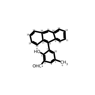 Cc1cc(C=O)c(O)c(-c2c3ccccc3cc3ccccc23)c1